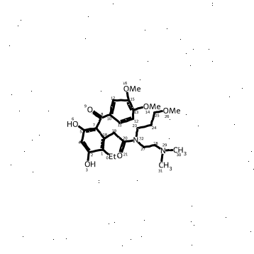 CCc1c(O)cc(O)c(C(=O)c2ccc(OC)c(OC)c2)c1CC(=O)N(CCCOC)CCN(C)C